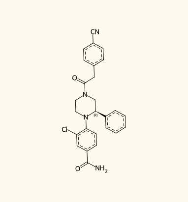 N#Cc1ccc(CC(=O)N2CCN(c3ccc(C(N)=O)cc3Cl)[C@H](c3ccccc3)C2)cc1